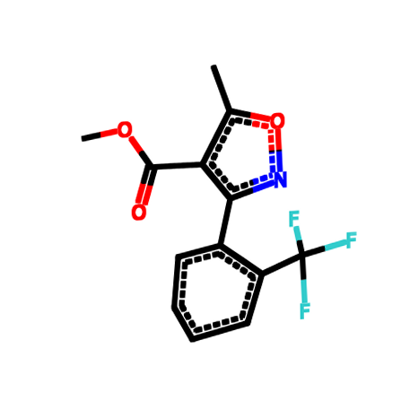 COC(=O)c1c(-c2ccccc2C(F)(F)F)noc1C